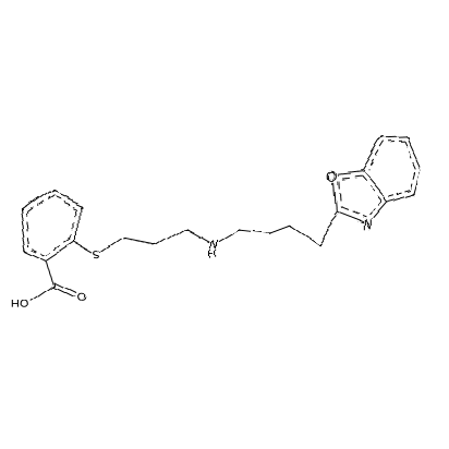 O=C(O)c1ccccc1SCCCNCCCCc1nc2ccccc2o1